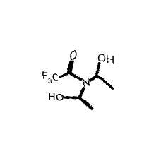 CC(O)N(C(=O)C(F)(F)F)C(C)O